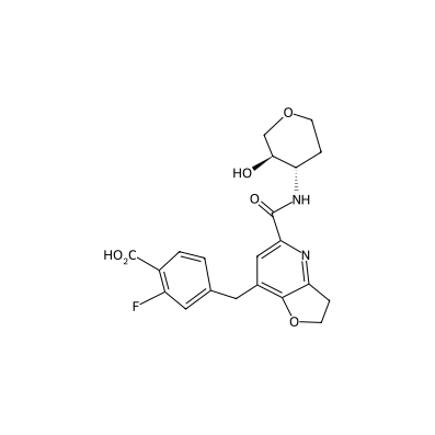 O=C(N[C@H]1CCOC[C@@H]1O)c1cc(Cc2ccc(C(=O)O)c(F)c2)c2c(n1)CCO2